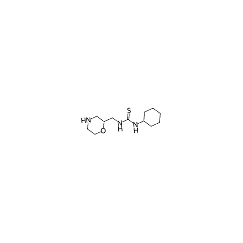 S=C(NCC1CNCCO1)NC1CCCCC1